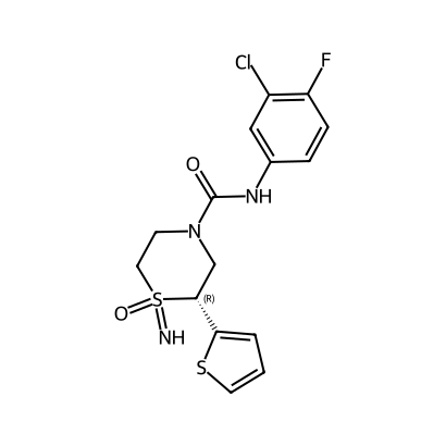 N=S1(=O)CCN(C(=O)Nc2ccc(F)c(Cl)c2)C[C@@H]1c1cccs1